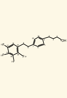 OCCCc1ccc(CCc2cc(F)c(F)c(F)c2F)cc1